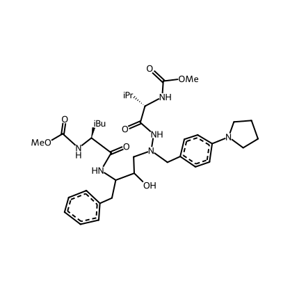 CCC(C)[C@H](NC(=O)OC)C(=O)NC(Cc1ccccc1)C(O)CN(Cc1ccc(N2CCCC2)cc1)NC(=O)[C@@H](NC(=O)OC)C(C)C